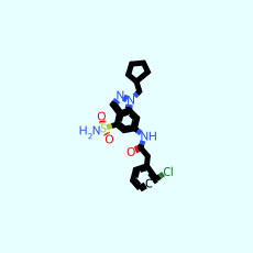 NS(=O)(=O)c1cc(NC(=O)Cc2ccccc2Cl)cc2c1cnn2CC1CCCC1